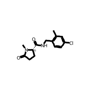 Cc1cc(Cl)ccc1CNC(=O)[C@@H]1CCC(=O)N1C